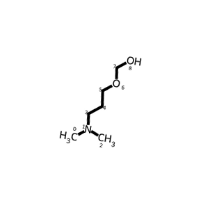 CN(C)CCCOCO